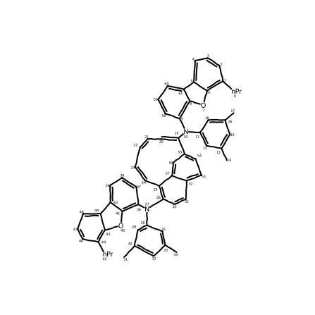 CCCc1cccc2c1oc1c(N(c3cc(C)cc(C)c3)c3cccccc4c(N(c5cc(C)cc(C)c5)c5cccc6c5oc5c(CCC)cccc56)ccc5ccc3cc54)cccc12